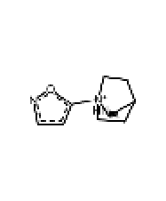 c1cc([N+]23CCC(CC2)C32CCNC2)on1